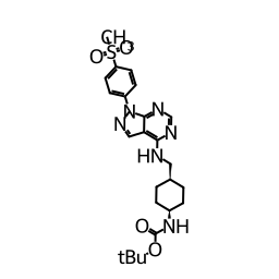 CC(C)(C)OC(=O)N[C@H]1CC[C@@H](CNc2ncnc3c2cnn3-c2ccc(S(C)(=O)=O)cc2)CC1